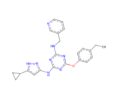 N#CCc1ccc(Oc2nc(NCc3cccnc3)nc(Nc3cc(C4CC4)[nH]n3)n2)cc1